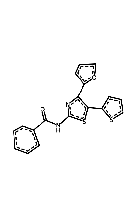 O=C(Nc1nc(-c2ccco2)c(-c2cccs2)s1)c1ccccc1